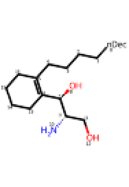 CCCCCCCCCCCCCCC1=C([C@@H](O)[C@@H](N)CO)CCCC1